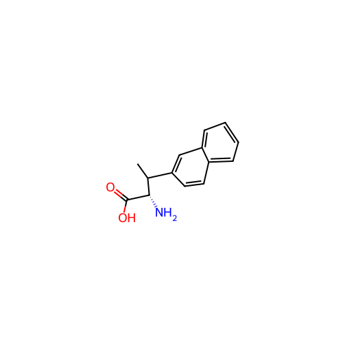 CC(c1ccc2ccccc2c1)[C@H](N)C(=O)O